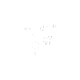 COC1(CN)CN(C(=O)O)CC(C(C)(C)C)OC1c1ccc(Cl)c(F)c1